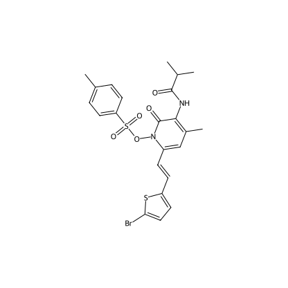 Cc1ccc(S(=O)(=O)On2c(C=Cc3ccc(Br)s3)cc(C)c(NC(=O)C(C)C)c2=O)cc1